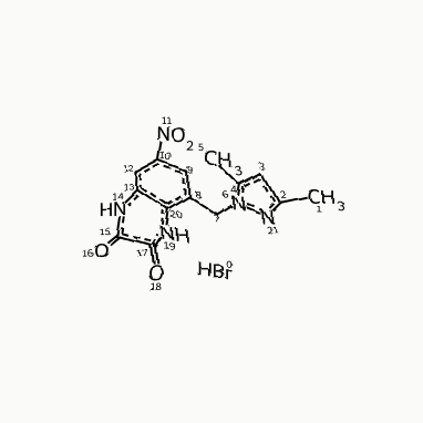 Br.Cc1cc(C)n(Cc2cc([N+](=O)[O-])cc3[nH]c(=O)c(=O)[nH]c23)n1